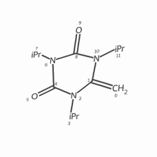 C=C1N(C(C)C)C(=O)N(C(C)C)C(=O)N1C(C)C